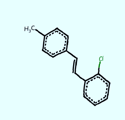 Cc1ccc(C=Cc2ccccc2Cl)cc1